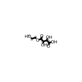 O=C(O)C(O)C(O)C(=O)OCCO